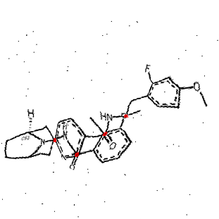 COc1ccc(CCNC(=O)c2ccc(N3C4CC[C@H]3CC(NC(=O)c3cccc(OC)c3C)C4)nc2)c(F)c1